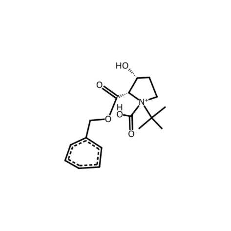 CC(C)(C)[N+]1(C(=O)O)CC[C@@H](O)[C@H]1C(=O)OCc1ccccc1